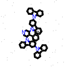 N#Cc1ccccc1-c1c(-n2c3ccccc3c3cc(-n4c5ccccc5c5ccccc54)ccc32)cncc1-n1c2ccccc2c2cc(-n3c4ccccc4c4ccccc43)ccc21